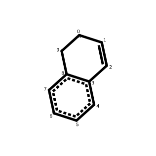 [C]1C=Cc2ccccc2C1